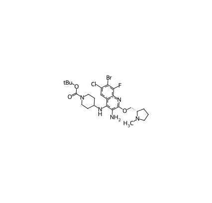 CN1CCC[C@H]1COc1nc2c(F)c(Br)c(Cl)cc2c(NC2CCN(C(=O)OC(C)(C)C)CC2)c1N